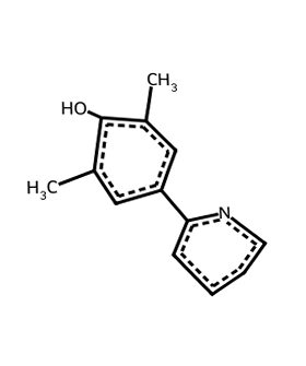 Cc1cc(-c2ccccn2)cc(C)c1O